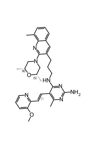 COc1cccnc1/C=C/c1c(C)nc(N)nc1NCCCc1cc2cccc(C)c2nc1N1C[C@@H](C)O[C@@H](C)C1